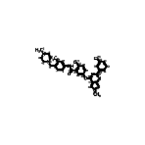 CN1CCN(Cc2ccc(NC(=O)c3cc(Oc4nc(-c5cccc(Cl)c5)nc5nn(C)cc45)ccc3Cl)cc2C(F)(F)F)CC1